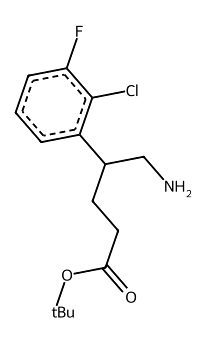 CC(C)(C)OC(=O)CCC(CN)c1cccc(F)c1Cl